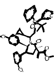 C=C(C(=O)OC)[C@@]1(C)CC(c2cccc(Cl)c2)[C@@H](c2ccc(Cl)cc2)N(C(CO[Si](c2ccccc2)(c2ccccc2)C(C)(C)C)C2CC2)C1=O